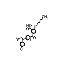 CCCCCCSc1ccc(C(=O)c2ccc(N(CC3CC3)c3ccc(Cl)cc3)cn2)cc1C(=O)O